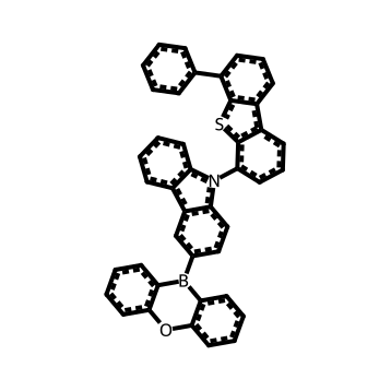 c1ccc(-c2cccc3c2sc2c(-n4c5ccccc5c5cc(B6c7ccccc7Oc7ccccc76)ccc54)cccc23)cc1